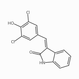 O=C1Nc2ccccc2/C1=C/c1cc(Cl)c(O)c(Cl)c1